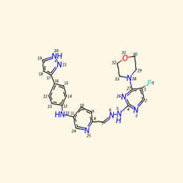 Fc1cnc(N/N=C/c2ccc(Nc3ccc(-c4cc[nH]n4)cc3)cn2)nc1N1CCOCC1